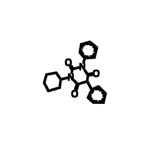 O=C1C(c2ccccc2)C(=O)N(C2CCCCC2)C(=O)N1c1ccccc1